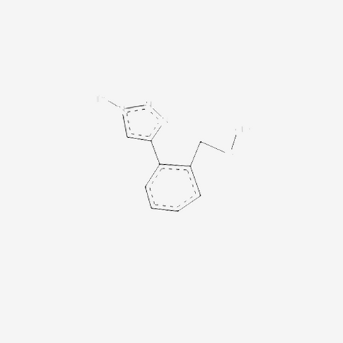 CC(C)n1cc(-c2ccccc2COC=O)nn1